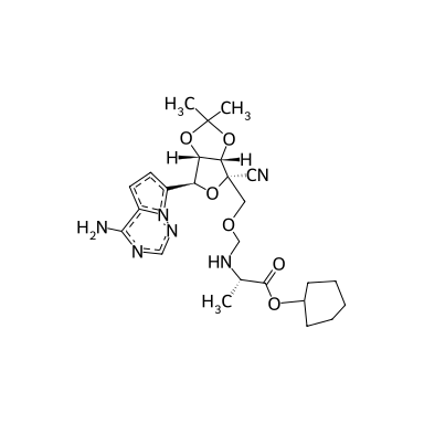 C[C@H](NCOC[C@@]1(C#N)O[C@@H](c2ccc3c(N)ncnn23)[C@@H]2OC(C)(C)O[C@@H]21)C(=O)OC1CCCCC1